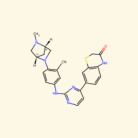 CN1C[C@@H]2C[C@H]1CN2c1ccc(Nc2nccc(-c3ccc4c(c3)SCC(=O)N4)n2)cc1C#N